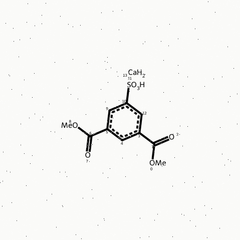 COC(=O)c1cc(C(=O)OC)cc(S(=O)(=O)O)c1.[CaH2]